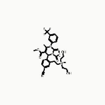 COC(=O)C1=C(C)N(c2cccc(C(F)(F)F)c2)c2n[nH]c(=O)n2C1c1ccc(C#N)cc1CC[N+](C)(CCO)CCO